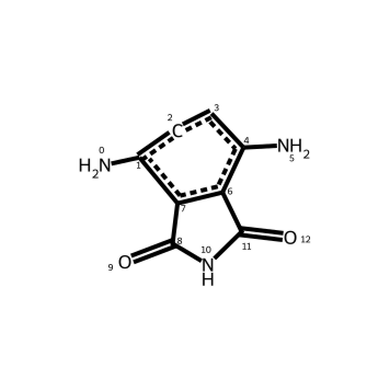 Nc1ccc(N)c2c1C(=O)NC2=O